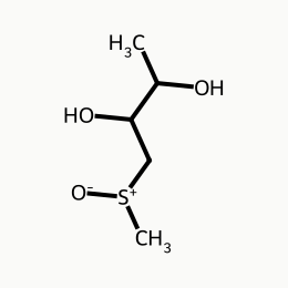 CC(O)C(O)C[S+](C)[O-]